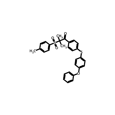 Cc1ccc(S(=O)(=O)C(C)(C)C(=O)c2ccc(Sc3ccc(Oc4ccccc4)cc3)cc2)cc1